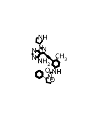 Cc1ccc(NC(=O)N2OCC[C@@H]2c2ccccc2)cc1C#Cc1nn([C@H]2CCNC2)c2ncnc(N)c12